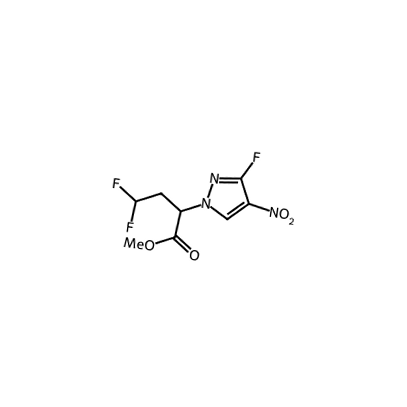 COC(=O)C(CC(F)F)n1cc([N+](=O)[O-])c(F)n1